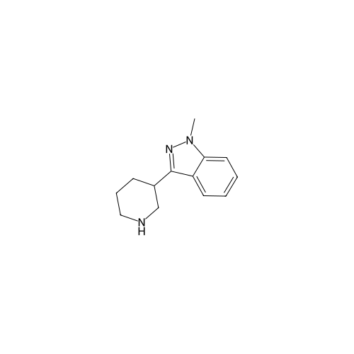 Cn1nc(C2CCCNC2)c2ccccc21